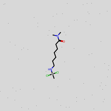 CN(C)C(=O)CCCCCCN[Si](C)(Cl)Cl